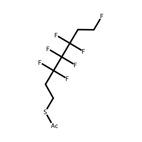 CC(=O)SCCC(F)(F)C(F)(F)C(F)(F)CCF